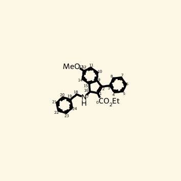 CCOC(=O)C1=C(c2ccccc2)c2ccc(OC)cc2C1NCc1ccccc1